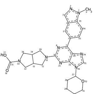 Cn1ncc2cc(-c3nc(N4CC5CN(C(=O)O)CC5C4)nc4c3ncn4C3CCCCO3)ccc21